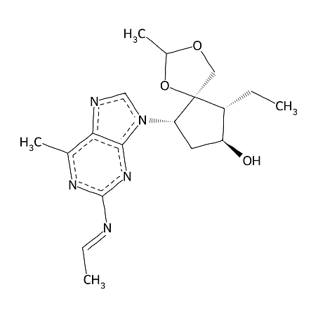 C/C=N/c1nc(C)c2ncn([C@H]3C[C@H](O)[C@@H](CC)[C@@]34COC(C)O4)c2n1